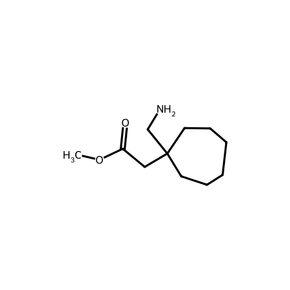 COC(=O)CC1(CN)CCCCCC1